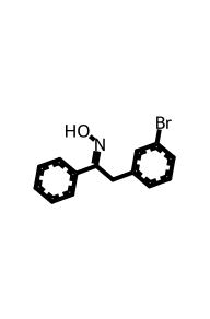 ON=C(Cc1cccc(Br)c1)c1ccccc1